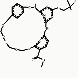 COC(=O)c1ccc2cc1OCCCCCCOc1ccc(cc1)CNc1nc(nc(OCC(F)(F)F)n1)N2